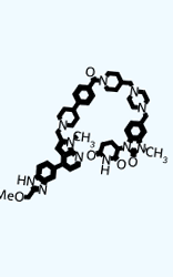 COCc1nc2cc(-c3ccnc4c3cc(CN3CCC(c5ccc(C(=O)N6CCC(CN7CCN(Cc8ccc9c(c8)n(C)c(=O)n9C8CCC(=O)NC8=O)CC7)CC6)cc5)CC3)n4C)ccc2[nH]1